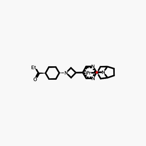 CCC(=O)[C@H]1CC[C@H](N2CC(c3cnc(N4C5CCC4CN(C(C)C)C5)nc3)C2)CC1